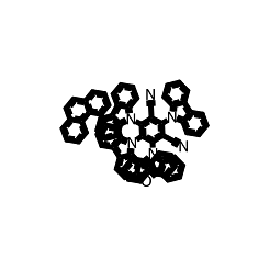 N#Cc1c(-n2c3ccccc3c3ccccc32)c(C#N)c(-n2c3ccccc3c3ccccc32)c(-n2c3cc(-c4cccc5ccc6ccccc6c45)ccc3c3ccc4oc5ccccc5c4c32)c1-n1c2ccccc2c2ccccc21